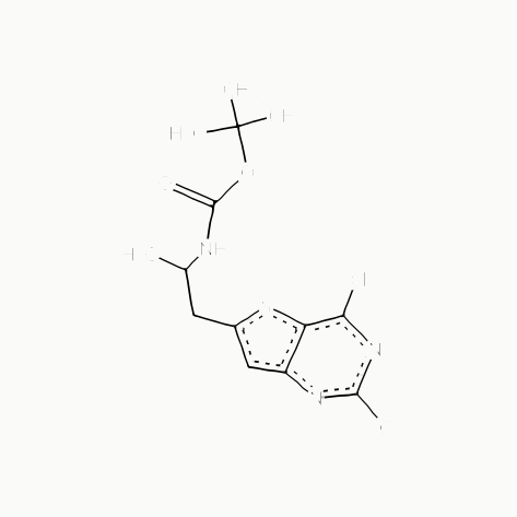 CC(Cc1cc2nc(Cl)nc(Cl)c2s1)NC(=O)OC(C)(C)C